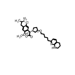 COc1cc(CC(C)C)c(Cl)cc1[C@@H](C(=O)O)N1CC[C@@H](OCCCCCc2ccc3c(n2)NCCC3)C1